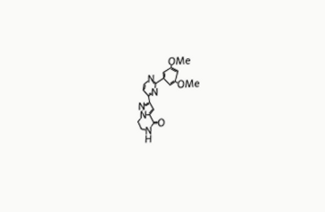 COc1cc(OC)cc(-c2nccc(-c3cc4n(n3)CCNC4=O)n2)c1